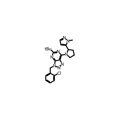 Cn1nccc1C1CCCN1c1nc(C(C)(C)C)nc2c1nnn2Cc1ccccc1Cl